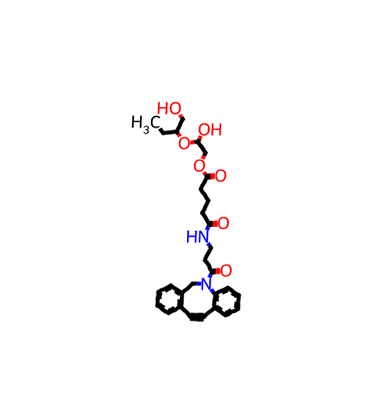 CCC(CO)OC(O)COC(=O)CCCC(=O)NCCC(=O)N1Cc2ccccc2C#Cc2ccccc21